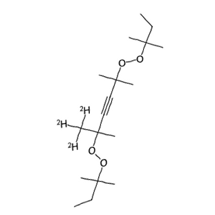 [2H]C([2H])([2H])C(C)(C#CC(C)(C)OOC(C)(C)CC)OOC(C)(C)CC